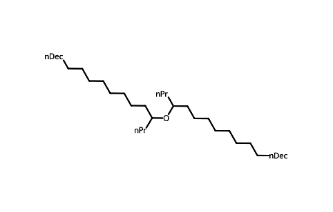 CCCCCCCCCCCCCCCCCCC(CCC)OC(CCC)CCCCCCCCCCCCCCCCCC